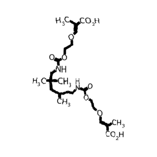 CC(=COCCOC(=O)NCCC(C)CC(C)(C)CNC(=O)OCCOC=C(C)C(=O)O)C(=O)O